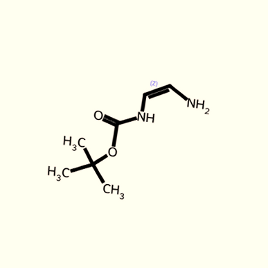 CC(C)(C)OC(=O)N/C=C\N